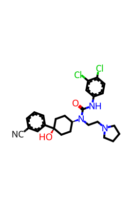 N#Cc1cccc([C@]2(O)CC[C@@H](N(CCN3CCCC3)C(=O)Nc3ccc(Cl)c(Cl)c3)CC2)c1